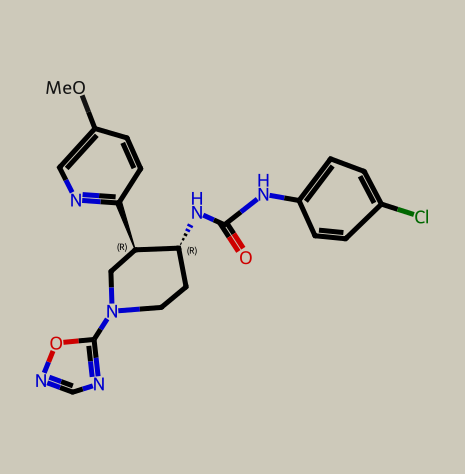 COc1ccc([C@@H]2CN(c3ncno3)CC[C@H]2NC(=O)Nc2ccc(Cl)cc2)nc1